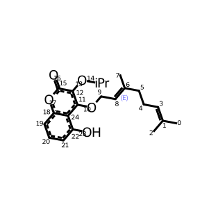 CC(C)=CCC/C(C)=C/COc1c(OC(C)C)c(=O)oc2cccc(O)c12